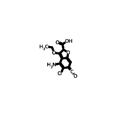 CCOC1=c2c(cc(=C=O)c(Cl)c2N)OC1C(=O)O